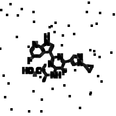 C[C@H](Nc1nc(-c2c[nH]c3ncc(F)cc23)nc(-c2cnn(C3CC3)c2)c1F)[C@H](C)C(=O)O